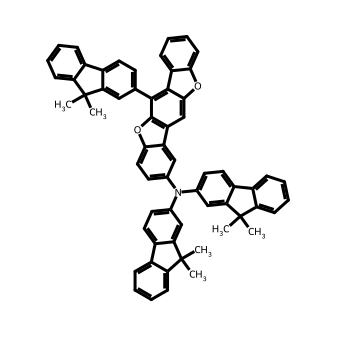 CC1(C)c2ccccc2-c2ccc(-c3c4oc5ccc(N(c6ccc7c(c6)C(C)(C)c6ccccc6-7)c6ccc7c(c6)C(C)(C)c6ccccc6-7)cc5c4cc4oc5ccccc5c34)cc21